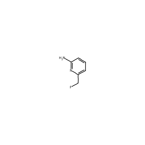 Nc1cccc(CF)n1